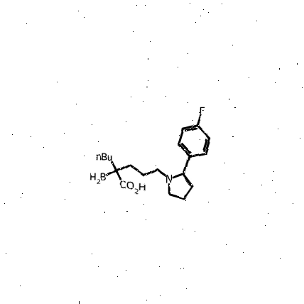 BC(CCCC)(CCCN1CCCC1c1ccc(F)cc1)C(=O)O